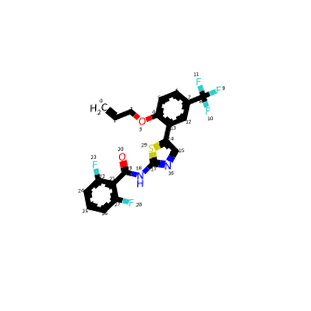 C=CCOc1ccc(C(F)(F)F)cc1-c1cnc(NC(=O)c2c(F)cccc2F)s1